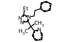 CCc1nnc(C(C)(C)c2ccccn2)n1CCc1ccccc1